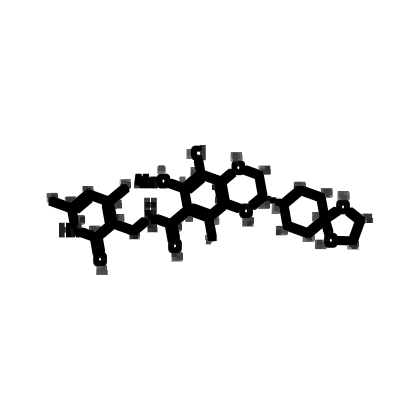 COc1c(Cl)c2c(c(C)c1C(=O)NCc1c(C)cc(C)[nH]c1=O)O[C@@H](C1CCC3(CC1)OCCO3)CO2